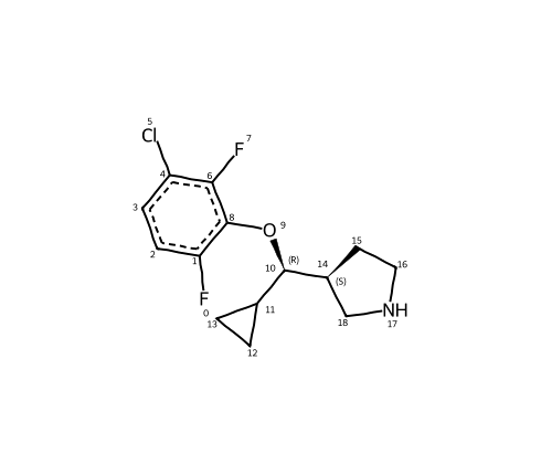 Fc1ccc(Cl)c(F)c1O[C@H](C1CC1)[C@H]1CCNC1